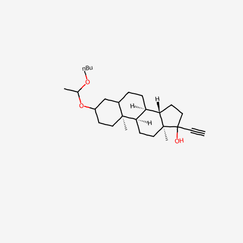 C#CC1(O)CC[C@H]2[C@@H]3CCC4CC(OC(C)OCCCC)CC[C@]4(C)[C@@H]3CC[C@@]21C